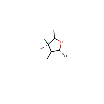 CC[C@H]1OC(C)[C@](C)(F)C1C